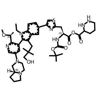 CCn1c(-c2cc(N3CCN4CCC[C@@H]4C3)cnc2[C@H](C)OC)c(CC(C)(C)CO)c2cc(-c3csc(C[C@H](NC(=O)OC(C)(C)C)C(=O)OC(=O)C4CCCNN4)n3)ccc21